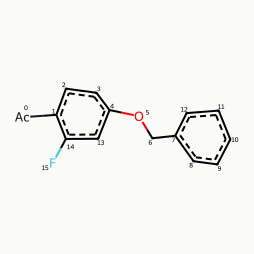 CC(=O)c1ccc(OCc2ccccc2)cc1F